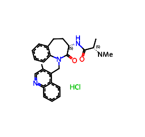 CN[C@@H](C)C(=O)N[C@H]1CCc2ccccc2N(Cc2c(C)cnc3ccccc23)C1=O.Cl